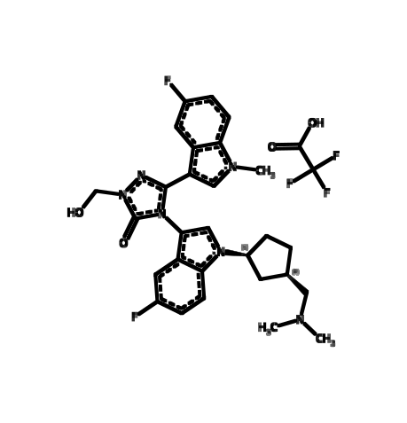 CN(C)C[C@@H]1CC[C@H](n2cc(-n3c(-c4cn(C)c5ccc(F)cc45)nn(CO)c3=O)c3cc(F)ccc32)C1.O=C(O)C(F)(F)F